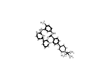 Cc1ccc(NC(=O)c2ccc(C3CCN(C(C)(C)C)CC3)cc2)cc1Nc1nccc(-c2cccnc2)n1